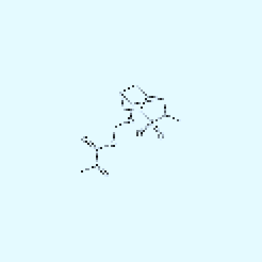 C=C(C)C(=O)OCOC1C2CC3C1N(C)S(=O)(=O)C3C2